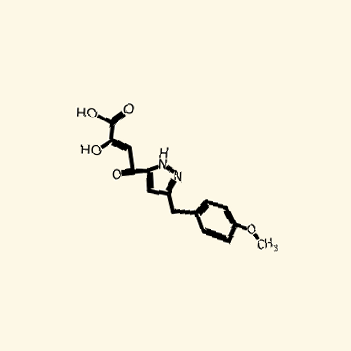 COc1ccc(Cc2cc(C(=O)C=C(O)C(=O)O)[nH]n2)cc1